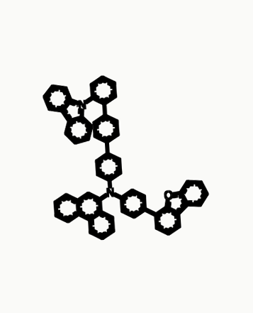 c1ccc(-n2c3ccccc3c3ccccc32)c(-c2ccc(-c3ccc(N(c4ccc(-c5cccc6c5oc5ccccc56)cc4)c4cc5ccccc5c5ccccc45)cc3)cc2)c1